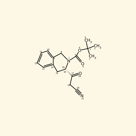 CC(C)(C)OC(=O)N1Cc2ccccc2C[C@H]1C(=O)CC#N